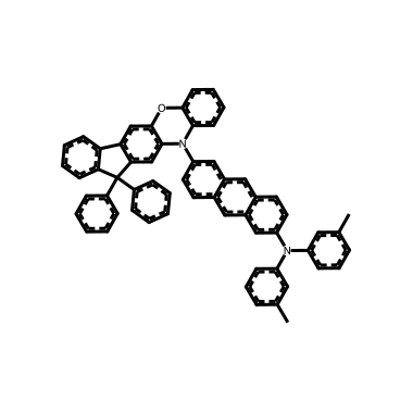 Cc1cccc(N(c2cccc(C)c2)c2ccc3cc4cc(N5c6ccccc6Oc6cc7c(cc65)C(c5ccccc5)(c5ccccc5)c5ccccc5-7)ccc4cc3c2)c1